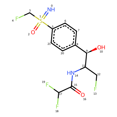 N=S(=O)(CF)c1ccc([C@@H](O)C(CF)NC(=O)C(F)F)cc1